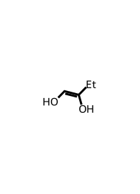 CCC(O)=CO